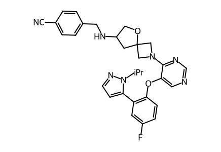 CC(C)n1nccc1-c1cc(F)ccc1Oc1cncnc1N1CC2(CC(NCc3ccc(C#N)cc3)CO2)C1